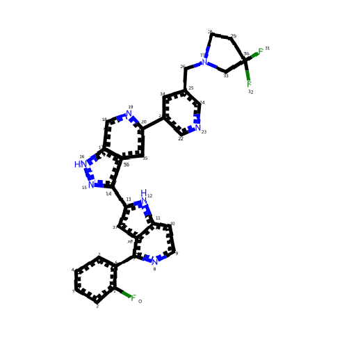 Fc1ccccc1-c1nccc2[nH]c(-c3n[nH]c4cnc(-c5cncc(CN6CCC(F)(F)C6)c5)cc34)cc12